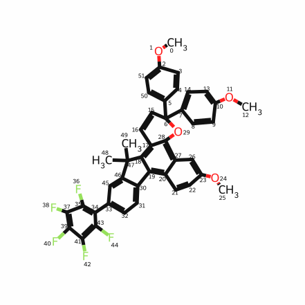 COc1ccc(C2(c3ccc(OC)cc3)C=Cc3c4c(c5ccc(OC)cc5c3O2)-c2ccc(-c3c(F)c(F)c(F)c(F)c3F)cc2C4(C)C)cc1